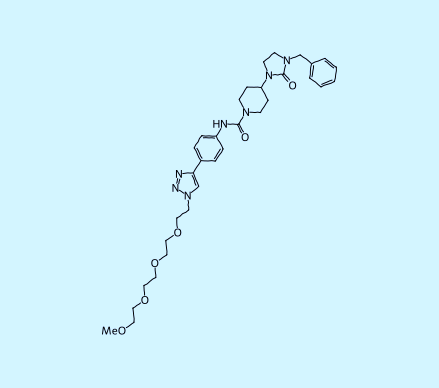 COCCOCCOCCOCCn1cc(-c2ccc(NC(=O)N3CCC(N4CCN(Cc5ccccc5)C4=O)CC3)cc2)nn1